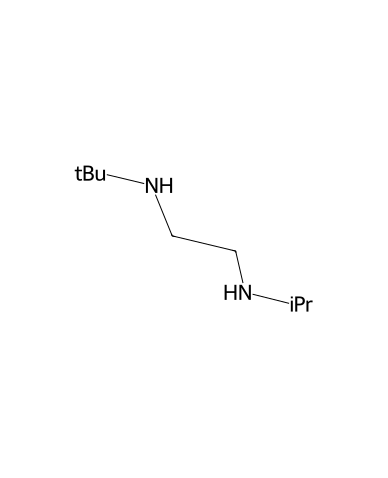 CC(C)NCCNC(C)(C)C